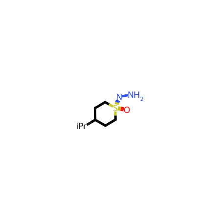 CC(C)C1CCS(=O)(=NN)CC1